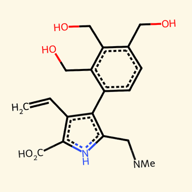 C=Cc1c(C(=O)O)[nH]c(CNC)c1-c1ccc(CO)c(CO)c1CO